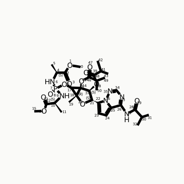 COC(=O)[C@H](C)NP(=O)(N[C@@H](C)C(=O)OC)OC1[C@@]2(C)O[C@@H](c3ccc4c(NC(=O)C(C)C)ncnn34)[C@H](OC(=O)C(C)C)[C@@]12OC(=O)C(C)C